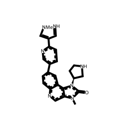 CN/C=C(\C=N)c1ccc(-c2ccc3ncc4c(c3c2)n([C@H]2CCNC2)c(=O)n4C)cn1